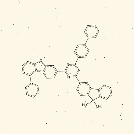 CC1(C)c2ccccc2-c2cc(-c3nc(-c4ccc(-c5ccccc5)cc4)nc(-c4ccc5c(c4)oc4cccc(-c6ccccc6)c45)n3)ccc21